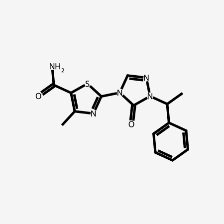 Cc1nc(-n2cnn(C(C)c3ccccc3)c2=O)sc1C(N)=O